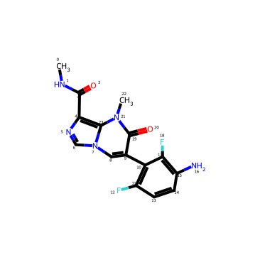 CNC(=O)c1ncn2cc(-c3c(F)ccc(N)c3F)c(=O)n(C)c12